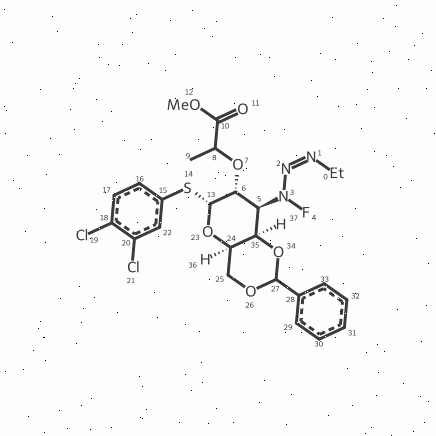 CC/N=N\N(F)[C@@H]1[C@@H](OC(C)C(=O)OC)[C@@H](Sc2ccc(Cl)c(Cl)c2)O[C@@H]2COC(c3ccccc3)O[C@H]12